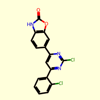 O=c1[nH]c2ccc(-c3cc(-c4ccccc4Cl)nc(Cl)n3)cc2o1